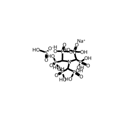 O=P(O)(O)C(N(C(P(=O)(O)O)P(=O)(O)O)C(P(=O)(O)O)P(=O)(O)O)P(=O)(O)O.O=S([O-])O.[Na+]